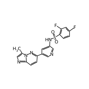 Cc1cnc2ccc(-c3cncc(NS(=O)(=O)c4ccc(F)cc4F)c3)nn12